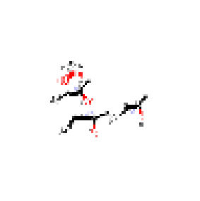 CC(=O)/C=C(/C)[O-].CC(=O)/C=C(/C)[O-].CC(=O)/C=C(/C)[O-].OO.[Mn+3]